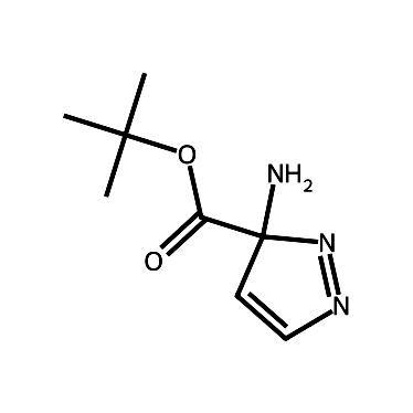 CC(C)(C)OC(=O)C1(N)C=CN=N1